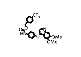 COc1cc2nccc(Oc3ccc(NC(=O)OCc4ccc(C(F)(F)F)cc4)cc3)c2cc1OC